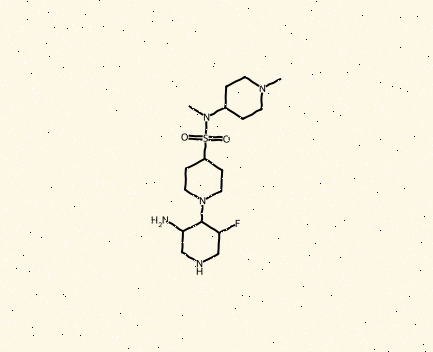 CN1CCC(N(C)S(=O)(=O)C2CCN(C3C(N)CNCC3F)CC2)CC1